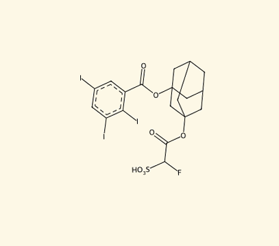 O=C(OC12CC3CC(C1)CC(OC(=O)C(F)S(=O)(=O)O)(C3)C2)c1cc(I)cc(I)c1I